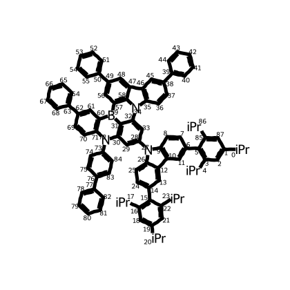 CC(C)c1cc(C(C)C)c(-c2ccc3c(c2)c2cc(-c4c(C(C)C)cc(C(C)C)cc4C(C)C)ccc2n3-c2cc3c4c(c2)-n2c5ccc(-c6ccccc6)cc5c5cc(-c6ccccc6)cc(c52)B4c2cc(-c4ccccc4)ccc2N3c2ccc(-c3ccccc3)cc2)c(C(C)C)c1